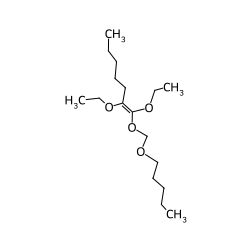 CCCCCOCOC(OCC)=C(CCCCC)OCC